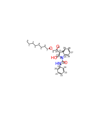 CCCCCCCCOCC(=O)c1c(O)n(C(=O)Nc2ccccc2)c2ccccc12